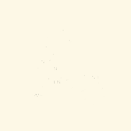 COc1ccc2nc(-c3ccc4c(c3)OCO4)nc(NCCc3c[nH]c4ccccc34)c2c1